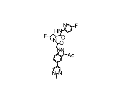 CC(=O)c1nn(CC(=O)N2C[C@H](F)C[C@H]2C(=O)Nc2ccc(F)cn2)c2ccc(-c3cnc(C)nc3)cc12